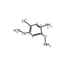 NSc1cc(SN)c(Cl)cc1N